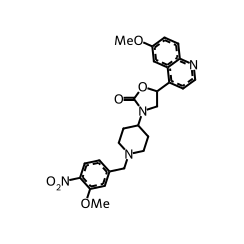 COc1ccc2nccc(C3CN(C4CCN(Cc5ccc([N+](=O)[O-])c(OC)c5)CC4)C(=O)O3)c2c1